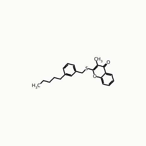 CCCCCc1cccc(CSc2oc3ccccc3c(=O)c2C)c1